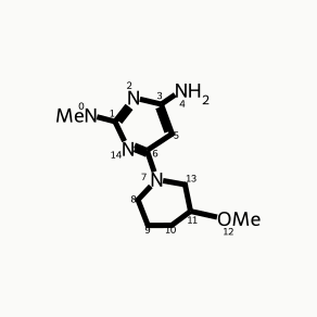 CNc1nc(N)cc(N2CCCC(OC)C2)n1